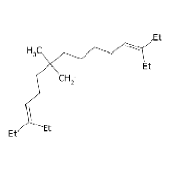 [CH2]C(C)(CCC=C(CC)CC)CCCCC=C(CC)CC